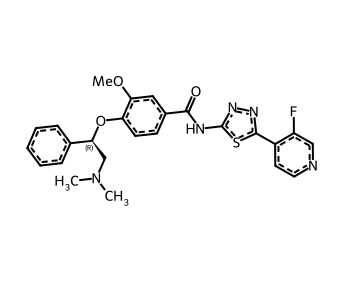 COc1cc(C(=O)Nc2nnc(-c3ccncc3F)s2)ccc1O[C@@H](CN(C)C)c1ccccc1